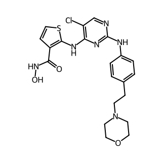 O=C(NO)c1ccsc1Nc1nc(Nc2ccc(CCN3CCOCC3)cc2)ncc1Cl